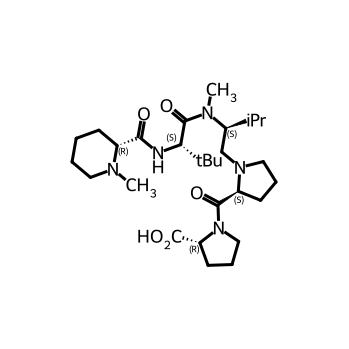 CC(C)[C@@H](CN1CCC[C@H]1C(=O)N1CCC[C@@H]1C(=O)O)N(C)C(=O)[C@@H](NC(=O)[C@H]1CCCCN1C)C(C)(C)C